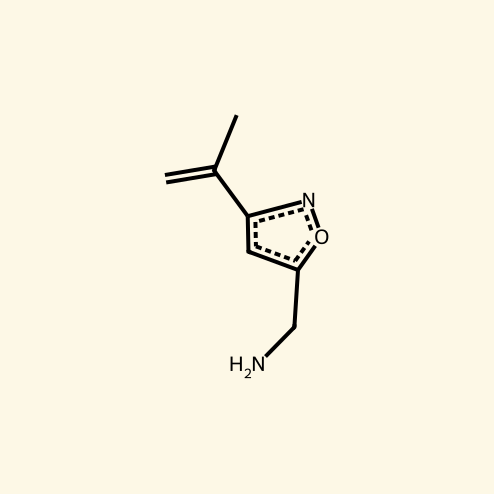 C=C(C)c1cc(CN)on1